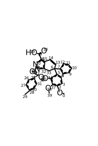 COc1ccc(C2(c3ccccc3)C=Cc3c(C(=O)O)nn(S(=O)(=O)c4ccc(C)cc4)c3C2)c(OC)c1OC